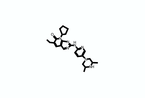 CCc1cc2cnc(Nc3ccc(N4CC(C)NC(C)C4)cn3)nc2n(C2CCCC2)c1=O